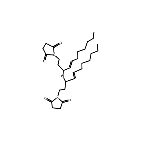 CCCCCCC=CC(CCN1C(=O)CCC1=O)NC(C=CCCCCCC)CCN1C(=O)CCC1=O